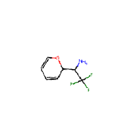 NC(C1C=CC=CO1)C(F)(F)F